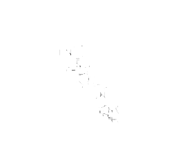 O=C1c2ccc(C3CCN(Cc4cnc5ncccn45)CC3)cc2CN1C1CCCNC1